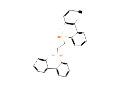 C#C/C=C\C1=C(C)c2ccccc2P(=O)(CCP2(=O)Oc3ccccc3-c3ccccc32)O1